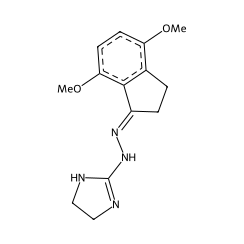 COc1ccc(OC)c2c1CCC2=NNC1=NCCN1